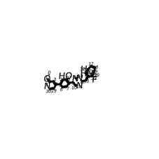 COc1cc(-c2ccc(-c3cnc(/C=C4\C[C@H]5C=C[C@](C)(N5)[C@@H]4F)nn3)c(O)c2)ccn1